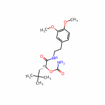 COc1ccc(CCNC(=O)[C@@H](CC(C)(C)C)OC(N)=O)cc1OC